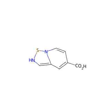 O=C(O)C1=CC2=CNSN2C=C1